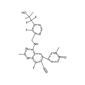 C#Cc1c(-c2ccc(=O)n(C)c2)cc2c(NCc3cccc(C(F)(F)C(C)(C)O)c3F)nc(C)nc2c1F